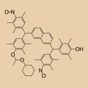 Cc1cc(C(c2ccc3ccc(C(c4cc(C)c(N=O)c(C)c4C)c4cc(C)c(OC(C)OC5CCCCC5)c(C)c4C)cc3c2)c2cc(C)c(N=O)c(C)c2C)c(C)c(C)c1O